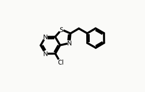 Clc1ncnc2sc(Cc3ccccc3)nc12